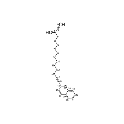 C#CC(O)CCCCCCCCCCC#Cc1ccc2ccccc2n1